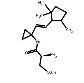 CC1CCC(C)(C)C1C=CC1(NC(=O)[C@@H](N)CC(=O)O)CC1